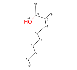 CCCCCCCC(C)C(C)O